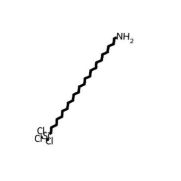 NCCCCCCCCCCCCCCCCCCCCCCCC[Si](Cl)(Cl)Cl